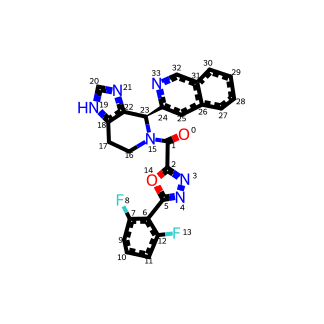 O=C(c1nnc(-c2c(F)cccc2F)o1)N1CCc2[nH]cnc2[C@H]1c1cc2ccccc2cn1